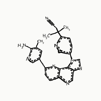 Cc1cc(-c2ccc3ncc4ncn(-c5ccc(C(C)(C)C#N)nc5)c4c3n2)cnc1N